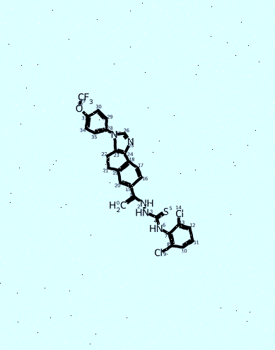 C=C(NNC(=S)Nc1c(Cl)cccc1Cl)c1ccc2c(c1)CCc1c-2ncn1-c1ccc(OC(F)(F)F)cc1